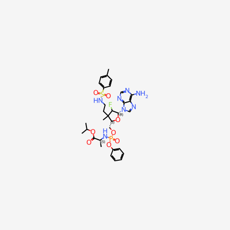 Cc1ccc(S(=O)(=O)NCCC2(C)C(F)[C@H](n3cnc4c(N)ncnc43)O[C@@H]2COP(=O)(N[C@@H](C)C(=O)OC(C)C)Oc2ccccc2)cc1